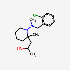 CC(O)CC1(C)CCCCN1N(C)Cc1ccccc1Cl